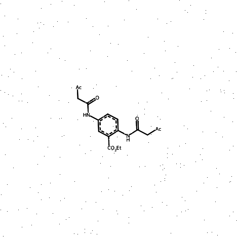 CCOC(=O)c1cc(NC(=O)CC(C)=O)ccc1NC(=O)CC(C)=O